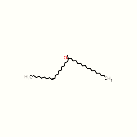 CCCCCCCC/C=C\CCCCCCCCC1(CCCCCCCCCCCCCCCC)CO1